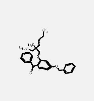 CCCCC(N)(CC)CSc1cc(OCc2ccccc2)ccc1C(=O)c1ccccc1